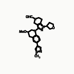 COC1Cc2cc(-c3cnn(C)c3)ccc2N(c2nn(C3CCOC3)c3c2CN(C=O)CC3)C1